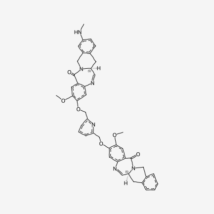 CNc1ccc2c(c1)CN1C(=O)c3cc(OC)c(OCc4cccc(COc5cc6c(cc5OC)C(=O)N5Cc7ccccc7C[C@H]5C=N6)n4)cc3N=C[C@@H]1C2